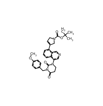 COc1ccc(CN2C(=O)CCN(c3cncc4c(C5=CCN(C(=O)OC(C)(C)C)C5)cccc34)C2=O)cc1